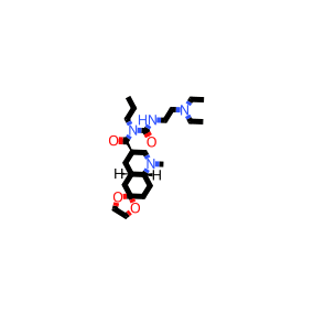 CCCN(C(=O)NCCN(CC)CC)C(=O)[C@@H]1C[C@@H]2CC3(CC[C@H]2N(C)C1)OCCO3